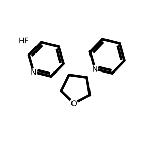 C1CCOC1.F.c1ccncc1.c1ccncc1